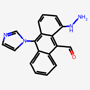 NNc1cccc2c(-n3ccnc3)c3ccccc3c(C=O)c12